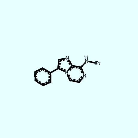 CC(C)Nc1nccn2c(-c3ccccc3)cnc12